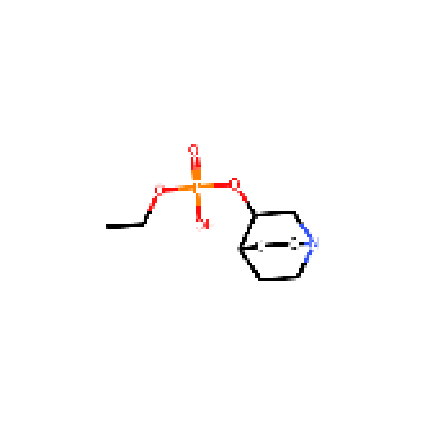 CCOP(=O)(O)OC1CN2CCC1CC2